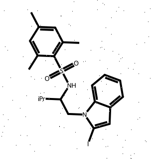 Cc1cc(C)c(S(=O)(=O)NC(Cn2c(I)cc3ccccc32)C(C)C)c(C)c1